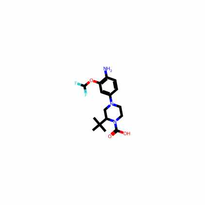 CC(C)(C)C1CN(c2ccc(N)c(OC(F)F)c2)CCN1C(=O)O